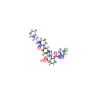 O=C(Nc1c(O)cccc1C(=O)Nc1ccc(Cl)cn1)c1ccc(C2CCCN(CCCN3CCCCC3)C2=O)cc1